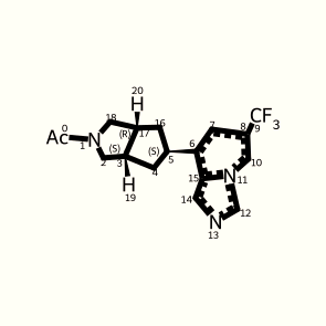 CC(=O)N1C[C@H]2C[C@H](c3cc(C(F)(F)F)cn4cncc34)C[C@H]2C1